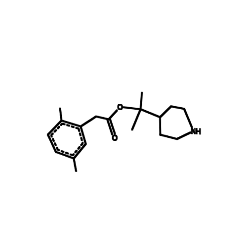 Cc1ccc(C)c(CC(=O)OC(C)(C)C2CCNCC2)c1